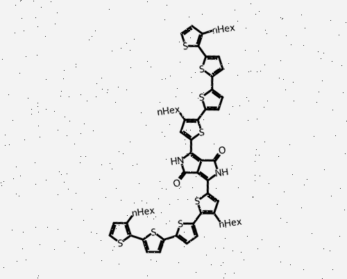 CCCCCCc1ccsc1-c1ccc(-c2ccc(-c3sc(C4=C5C(=O)NC(c6cc(CCCCCC)c(-c7ccc(-c8ccc(-c9sccc9CCCCCC)s8)s7)s6)=C5C(=O)N4)cc3CCCCCC)s2)s1